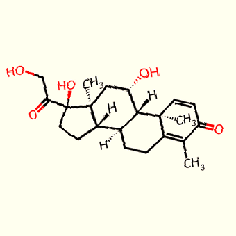 CC1=C2CC[C@@H]3[C@H]([C@@H](O)C[C@@]4(C)[C@H]3CC[C@]4(O)C(=O)CO)[C@@]2(C)C=CC1=O